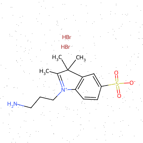 Br.Br.CC1=[N+](CCCN)c2ccc(S(=O)(=O)[O-])cc2C1(C)C